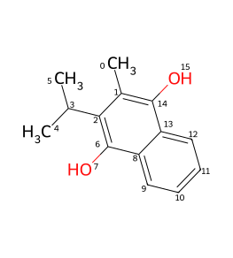 Cc1c(C(C)C)c(O)c2ccccc2c1O